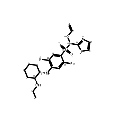 CCN[C@H]1CCCC[C@@H]1Nc1cc(F)c(S(=O)(=O)N(OC=O)c2nccs2)cc1Br